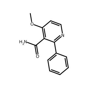 COc1ccnc(-c2ccccc2)c1C(N)=O